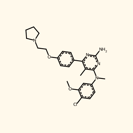 COc1cc(N(C)c2nc(N)nc(-c3ccc(OCCN4CCCC4)cc3)c2C)ccc1Cl